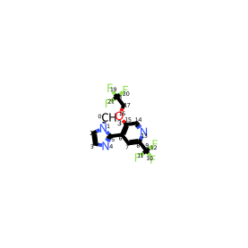 Cn1ccnc1-c1cc(C(F)(F)F)ncc1OCC(F)(F)F